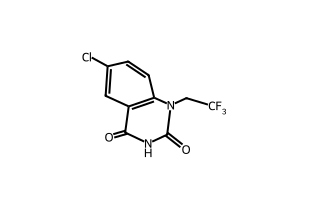 O=c1[nH]c(=O)n(CC(F)(F)F)c2ccc(Cl)cc12